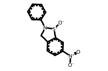 O=[N+]([O-])c1ccc2c(c1)[S+]([O-])N(c1ccccc1)C2